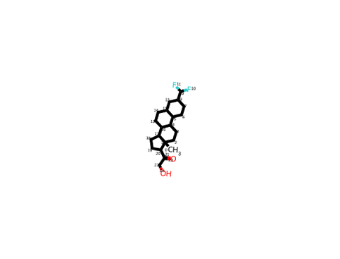 CC12CCC3C4CCC(C(F)F)CC4CCC3C1CCC2C(=O)CO